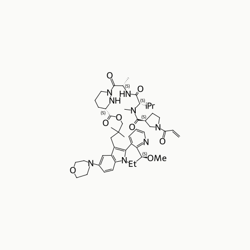 C=CC(=O)N1CC[C@H](C(=O)N(C)[C@H](C(=O)N[C@@H](C)C(=O)N2CCC[C@@H](C(=O)OCC(C)(C)Cc3c(-c4cccnc4[C@H](C)OC)n(CC)c4ccc(N5CCOCC5)cc34)N2)C(C)C)C1